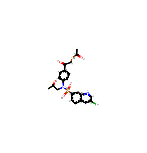 CC(=O)CN(c1ccc(C(=O)CSC(C)=O)cc1)S(=O)(=O)c1ccc2cc(F)cnc2c1